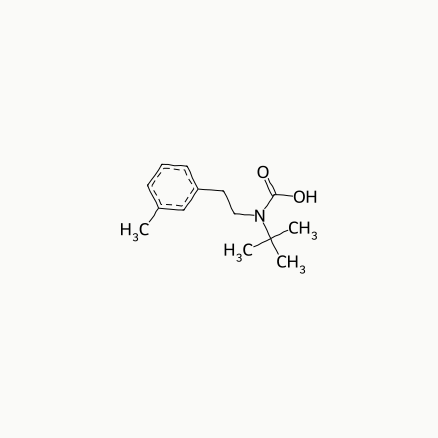 Cc1cccc(CCN(C(=O)O)C(C)(C)C)c1